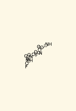 COc1cc2c(Oc3ccc(NC(=O)c4nn(-c5ccc(F)cc5C)cc4OC)cc3F)ccnc2cc1OCC1CCNCC1